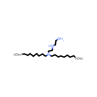 CCCCCCCCCCCCCCCCCCN(CCCCCCCCCCCCCCCCCC)CCNCCN